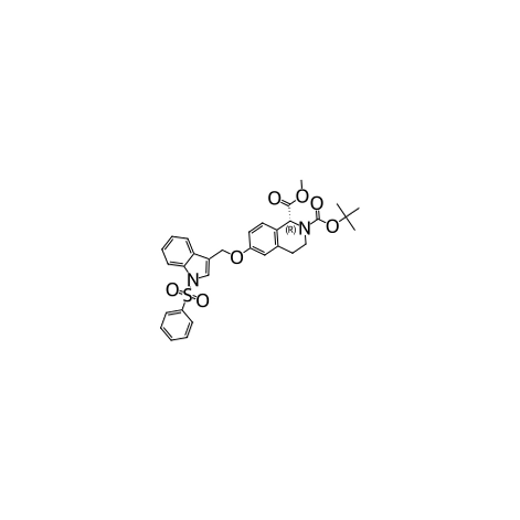 COC(=O)[C@H]1c2ccc(OCc3cn(S(=O)(=O)c4ccccc4)c4ccccc34)cc2CCN1C(=O)OC(C)(C)C